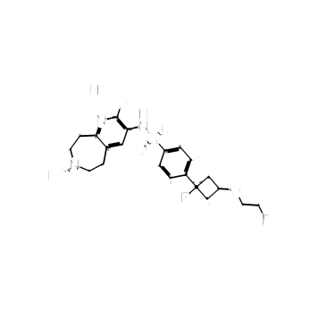 COc1nc2c(cc1NS(=O)(=O)c1ccc(C3(F)CC(OCCF)C3)cc1)CCN(C)CC2